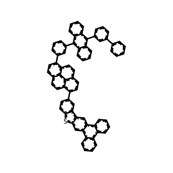 c1ccc(-c2cccc(-c3c4ccccc4c(-c4cccc(-c5ccc6ccc7c(-c8ccc9sc%10cc%11c%12ccccc%12c%12ccccc%12c%11cc%10c9c8)ccc8ccc5c6c87)c4)c4ccccc34)c2)cc1